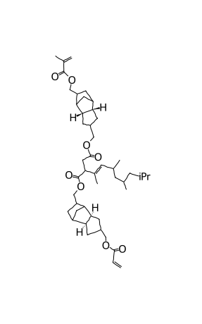 C=CC(=O)OCC1C[C@@H]2C3CC(CC3COC(=O)C(CC(=O)OCC3C[C@@H]4C5CC(CC5COC(=O)C(=C)C)[C@@H]4C3)/C(C)=C/C(C)CC(C)CC(C)C)[C@@H]2C1